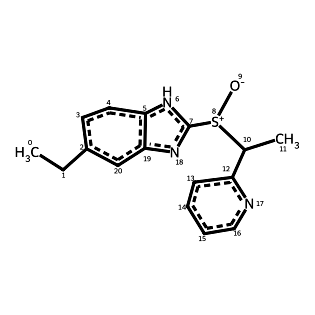 CCc1ccc2[nH]c([S+]([O-])C(C)c3ccccn3)nc2c1